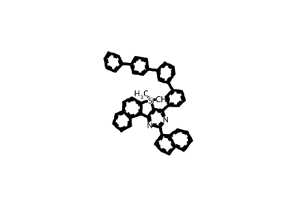 C[Si]1(C)c2ccc3ccccc3c2-c2nc(-c3cccc4ccccc34)nc(-c3cccc(-c4cccc(-c5ccc(-c6ccccc6)cc5)c4)c3)c21